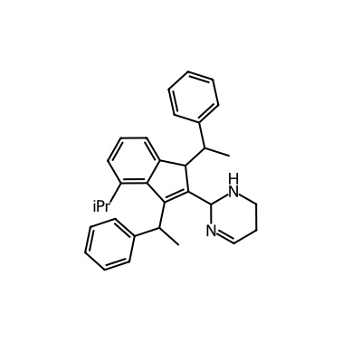 CC(C)c1cccc2c1C(C(C)c1ccccc1)=C(C1N=CCCN1)C2C(C)c1ccccc1